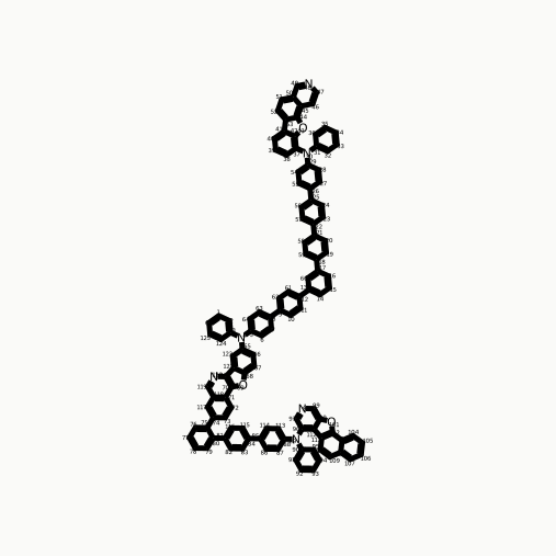 c1ccc(N(c2ccc(-c3ccc(-c4cccc(-c5ccc(-c6ccc(-c7ccc(N(c8ccccc8)c8cccc9c8oc8c%10ccncc%10ccc98)cc7)cc6)cc5)c4)cc3)cc2)c2ccc3oc4c5ccc(-c6ccccc6-c6ccc(-c7ccc(N(c8ccccc8)c8cncc9oc%10c%11ccccc%11ccc%10c89)cc7)cc6)cc5cnc4c3c2)cc1